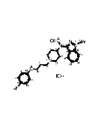 CC(C)n1nc(N(C=O)C2CCN(CCCOc3ccc(F)cc3)CC2)c2ccccc21.Cl